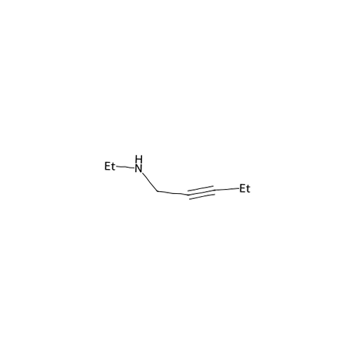 CCC#CCNCC